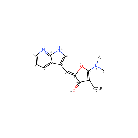 CCOC(=O)C1=C(N(C)CC)OC(=Cc2c[nH]c3ncccc23)C1=O